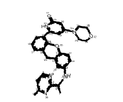 Cc1ccnc(C(C)Nc2ccc3c(c2)Cc2cccc(-c4cc(N5CCOCC5)cc(=O)[nH]4)c2O3)n1